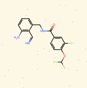 N=Cc1c(N)cccc1CNC(=O)c1ccc(OC(F)F)c(F)c1